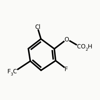 O=C(O)Oc1c(F)cc(C(F)(F)F)cc1Cl